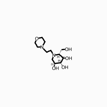 OC[C@@H]1[C@@H](O)[C@H](O)[C@@H](O)CN1CCN1CCOCC1